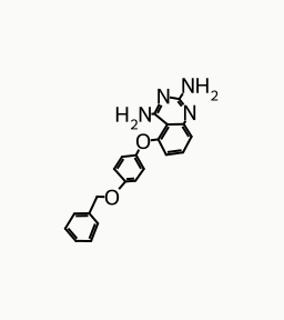 Nc1nc(N)c2c(Oc3ccc(OCc4ccccc4)cc3)cccc2n1